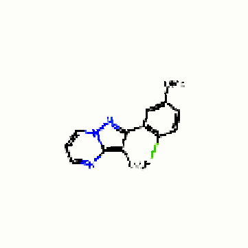 COc1ccc(F)c(-c2nn3cccnc3c2C(=O)O)c1